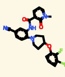 Cn1cccc(C(=O)Nc2cc(C#N)ccc2N2CCC(Oc3cccc(F)c3F)CC2)c1=O